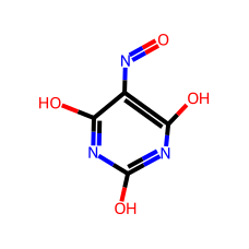 O=Nc1c(O)nc(O)nc1O